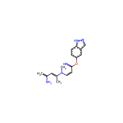 C=C(N)/C=C(\C)N(C)/C=C\C(=N)Oc1ccc2[nH]ncc2c1